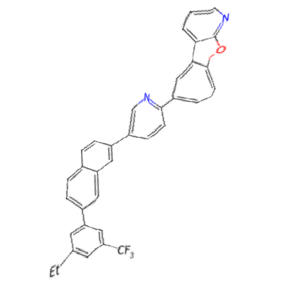 CCc1cc(-c2ccc3ccc(-c4ccc(-c5ccc6oc7ncccc7c6c5)nc4)cc3c2)cc(C(F)(F)F)c1